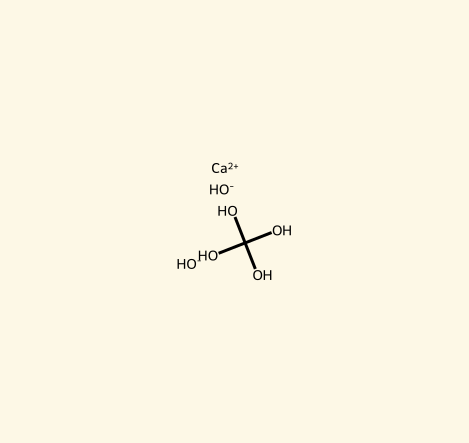 OC(O)(O)O.[Ca+2].[OH-].[OH-]